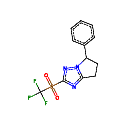 O=S(=O)(c1nc2n(n1)C(c1ccccc1)CC2)C(F)(F)F